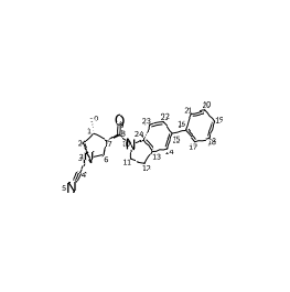 C[C@H]1CN(C#N)C[C@@H]1C(=O)N1CCc2cc(-c3ccccc3)ccc21